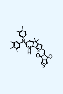 Cc1ccc(N(C2=CNC3C(=C2)C(C)(C)c2cc(C=C4C(=O)c5cscc5C4=O)sc23)c2cc(C)c(C)c(C)c2)cc1C